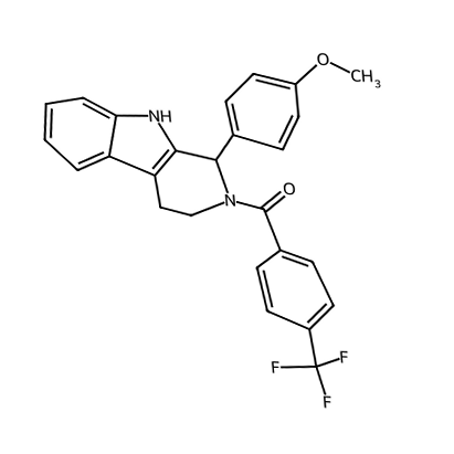 COc1ccc(C2c3[nH]c4ccccc4c3CCN2C(=O)c2ccc(C(F)(F)F)cc2)cc1